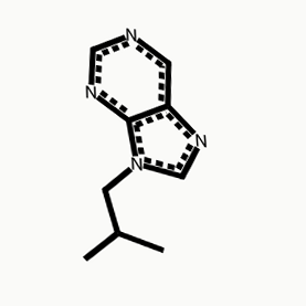 CC(C)Cn1cnc2cncnc21